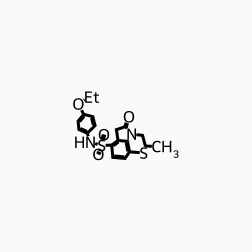 CCOc1ccc(NS(=O)(=O)c2ccc3c4c2CC(=O)N4CC(C)S3)cc1